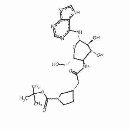 CC(C)(C)OC(=O)N1CC[C@@H](CC(=O)N[C@@H]2[C@@H](O)[C@H](O)[C@@H](Nc3ncnc4nc[nH]c34)O[C@H]2CO)C1